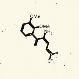 C=C(/C(N)=C\C=C(/C)C(F)(F)F)c1cccc(OC)c1OC